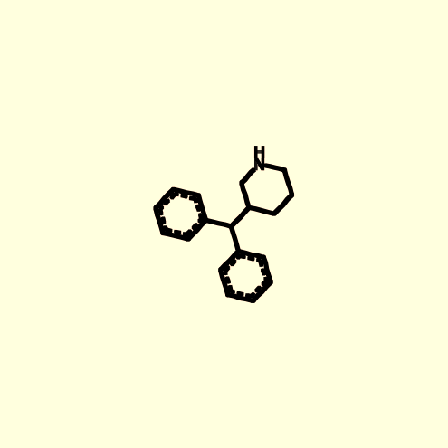 c1ccc(C(c2ccccc2)C2CCCNC2)cc1